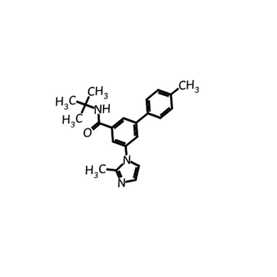 Cc1ccc(-c2cc(C(=O)NC(C)(C)C)cc(-n3ccnc3C)c2)cc1